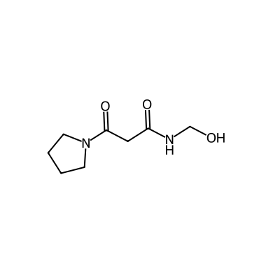 O=C(CC(=O)N1CCCC1)NCO